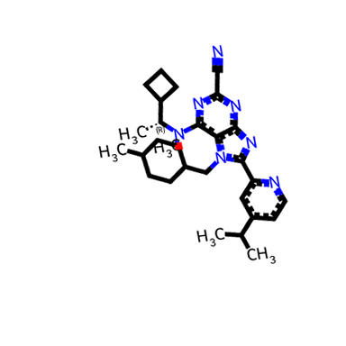 CC1CCC(Cn2c(-c3cc(C(C)C)ccn3)nc3nc(C#N)nc(N(C)[C@H](C)C4CCC4)c32)CC1